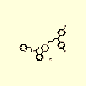 Cl.O=C(OCc1ccccn1)c1cccnc1N1CCN(CCCC(c2ccc(F)cc2)c2ccc(F)cc2)CC1